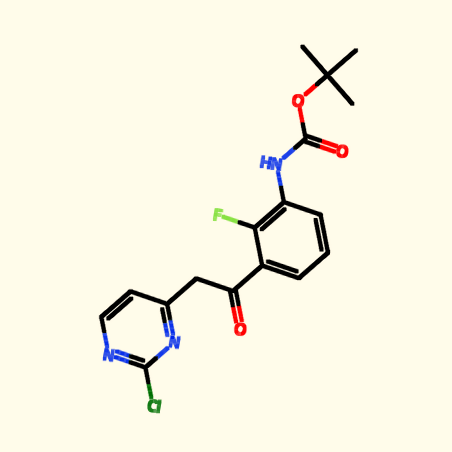 CC(C)(C)OC(=O)Nc1cccc(C(=O)Cc2ccnc(Cl)n2)c1F